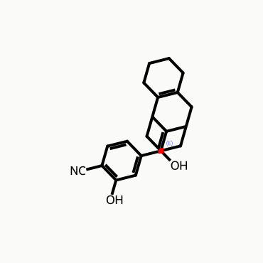 N#Cc1ccc(/C(O)=C2/C3CCCC2C2=C(CCCC2)C3)cc1O